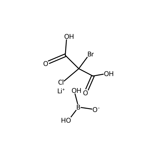 O=C(O)C(Cl)(Br)C(=O)O.[Li+].[O-]B(O)O